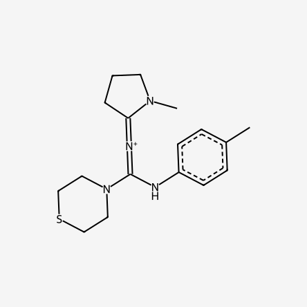 Cc1ccc(NC(=[N+]=C2CCCN2C)N2CCSCC2)cc1